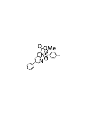 COC(=O)c1cc2cc(-c3ccccc3)cnc2n1S(=O)(=O)c1ccc(C)cc1